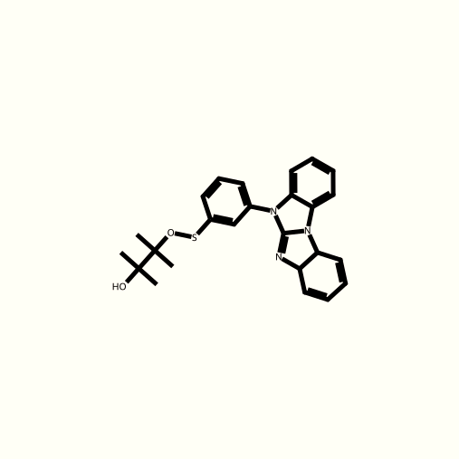 CC(C)(O)C(C)(C)OSc1cccc(N2C3=NC4C=CC=CC4N3c3ccccc32)c1